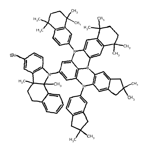 CC1(C)Cc2ccc(N3c4cc5c(cc4B4c6cc7c(cc6N(c6ccc8c(c6)C(C)(C)CCC8(C)C)c6cc(N8c9ccc(C(C)(C)C)cc9C9(C)CCc%10ccccc%10C89C)cc3c64)C(C)(C)CCC7(C)C)CC(C)(C)C5)cc2C1